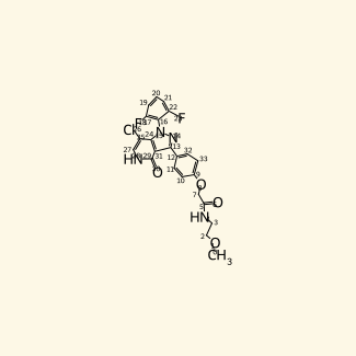 COCCNC(=O)COc1ccc(-c2nn(-c3c(F)cccc3F)c3c(Cl)c[nH]c(=O)c23)cc1